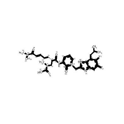 CC(C)Cc1c(F)c(F)cc2nc(Cn3cccc(NC(=O)[C@@H](CC/C=C/C(=O)N(C)C)CN(C)C(=O)O)c3=O)[nH]c12